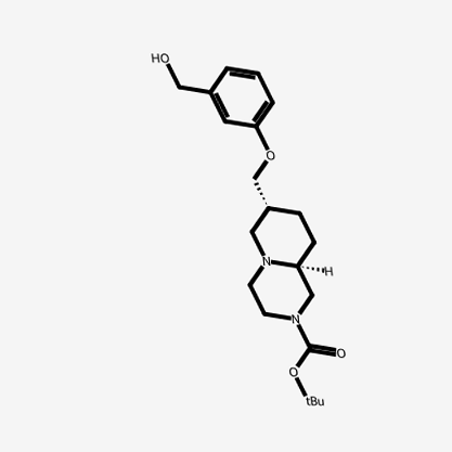 CC(C)(C)OC(=O)N1CCN2C[C@H](COc3cccc(CO)c3)CC[C@H]2C1